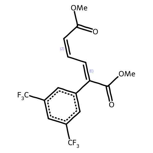 COC(=O)/C=C\C=C(\C(=O)OC)c1cc(C(F)(F)F)cc(C(F)(F)F)c1